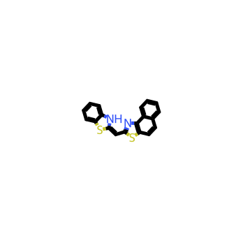 C(=C1Nc2ccccc2S1)c1nc2c(ccc3ccccc32)s1